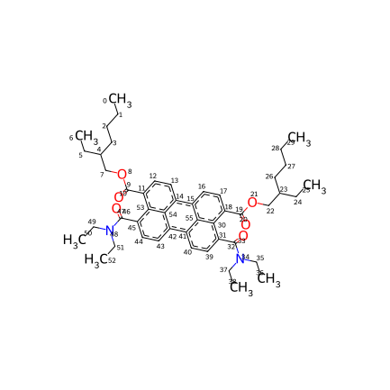 CCCCC(CC)COC(=O)c1ccc2c3ccc(C(=O)OCC(CC)CCCC)c4c(C(=O)N(CC)CC)ccc(c5ccc(C(=O)N(CC)CC)c1c25)c43